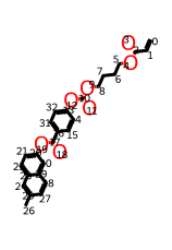 C=CC(=O)OCCCCOC(=O)Oc1ccc(C(=O)Oc2ccc3cc(C)ccc3c2)cc1